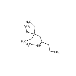 CCCC(CC(CC)(CC)O[SiH3])NC